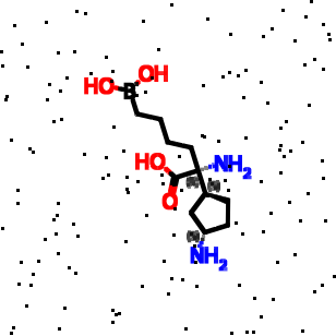 N[C@H]1CC[C@H]([C@](N)(CCCCB(O)O)C(=O)O)C1